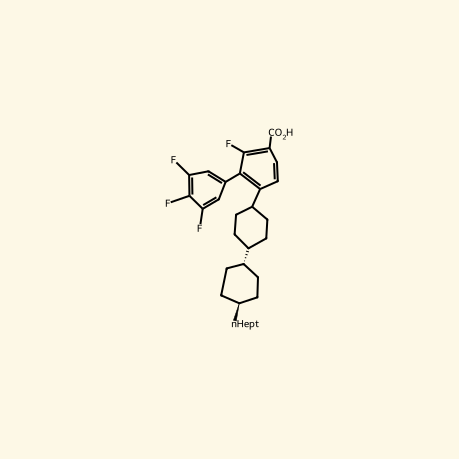 CCCCCCC[C@H]1CC[C@H](C2CCC(c3ccc(C(=O)O)c(F)c3-c3cc(F)c(F)c(F)c3)CC2)CC1